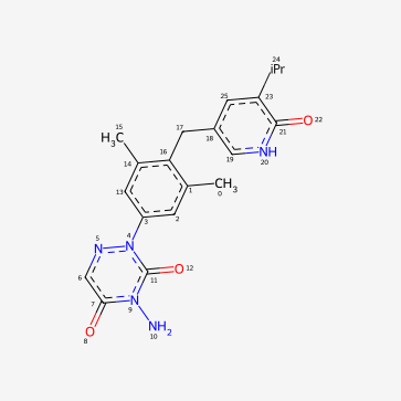 Cc1cc(-n2ncc(=O)n(N)c2=O)cc(C)c1Cc1c[nH]c(=O)c(C(C)C)c1